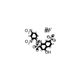 O=[N+]([O-])c1ccc(N=Nc2c(S(=O)(=O)[O-])cc(O)c3ccc(S(=O)(=O)[O-])cc23)c([N+](=O)[O-])c1.[Na+].[Na+]